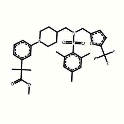 COC(=O)C(C)(C)c1cccc(N2CCC(CN(Cc3ccc(C(F)(F)F)o3)S(=O)(=O)c3c(C)cc(C)cc3C)CC2)c1